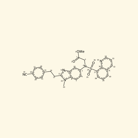 COC(=O)CN(c1ccc2c(c1)nc(CCc1ccc(C#N)cc1)n2C)S(=O)(=O)c1cccc2cccnc12